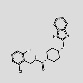 O=C(NCc1c(Cl)cccc1Cl)[C@H]1CC[C@@H](Cc2nc3ccccc3[nH]2)CC1